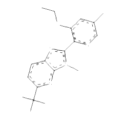 CCSc1cc(C)cnc1-c1nc2ccc(C(F)(F)F)nc2n1C